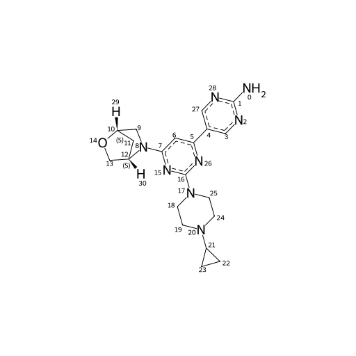 Nc1ncc(-c2cc(N3C[C@@H]4C[C@H]3CO4)nc(N3CCN(C4CC4)CC3)n2)cn1